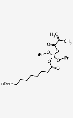 C=C(C)C(=O)[O][Ti]([O]C(=O)CCCCCCCCCCCCCCCCC)([O]C(C)C)[O]C(C)C